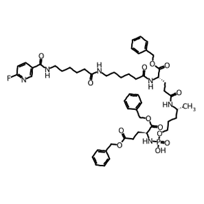 C[C@H](CCCOP(=O)(O)N[C@@H](CCC(=O)OCc1ccccc1)C(=O)OCc1ccccc1)NC(=O)CC[C@H](NC(=O)CCCCCNC(=O)CCCCCNC(=O)c1ccc(F)nc1)C(=O)OCc1ccccc1